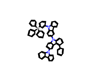 c1ccc(-c2cccc3c2c2cc(-n4c5ccccc5c5ccccc54)ccc2n3-c2ccc3c(c2)c2ccccc2n3-c2cccc([Si](c3ccccc3)(c3ccccc3)c3ccccc3)c2)cc1